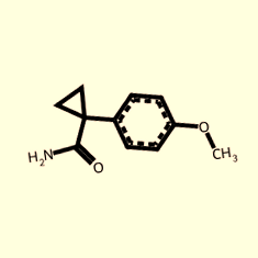 COc1ccc(C2(C(N)=O)CC2)cc1